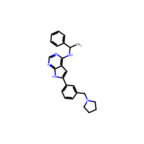 CC(Nc1ncnc2[nH]c(-c3cccc(CN4CCCC4)c3)cc12)c1ccccc1